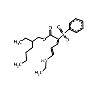 CCCCC(CC)COC(=O)/C(=C\C=C\NCC)S(=O)(=O)c1ccccc1